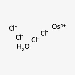 O.[Cl-].[Cl-].[Cl-].[Cl-].[Os+4]